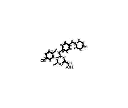 CCO[C@H](CC(=O)NO)[C@H](Cc1ccc(Cl)cc1)c1ccc(CN2CCNCC2)cc1